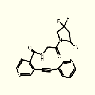 N#CC1CC(F)(F)CN1C(=O)CNC(=O)c1ccncc1C#Cc1cccnc1